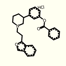 Cl.O=C(Oc1cccc(C2CCCN(CCc3occ4ccccc34)C2)c1)c1ccccc1